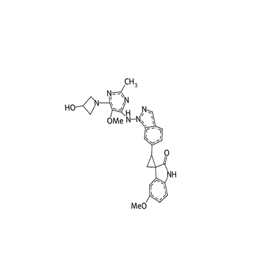 COc1ccc2c(c1)C1(CC1c1ccc3cnn(Nc4nc(C)nc(N5CC(O)C5)c4OC)c3c1)C(=O)N2